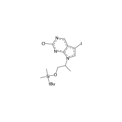 CC(CO[Si](C)(C)C(C)(C)C)n1cc(I)c2cnc(Cl)nc21